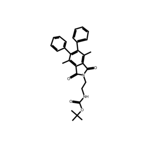 Cc1c2c(c(C)c(-c3ccccc3)c1-c1ccccc1)C(=O)N(CCNC(=O)OC(C)(C)C)C2=O